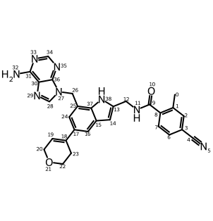 Cc1cc(C#N)ccc1C(=O)NCc1cc2cc(C3=CCOCC3)cc(Cn3cnc4c(N)ncnc43)c2[nH]1